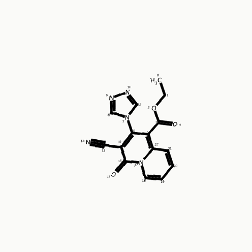 CCOC(=O)c1c(-n2cnnc2)c(C#N)c(=O)n2ccccc12